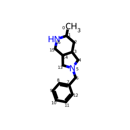 CC1CC2CN(Cc3ccccc3)CC2CN1